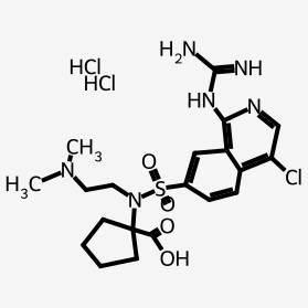 CN(C)CCN(C1(C(=O)O)CCCC1)S(=O)(=O)c1ccc2c(Cl)cnc(NC(=N)N)c2c1.Cl.Cl